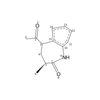 CC(=O)C1C[C@H](C)C(=O)Nc2ccccc21